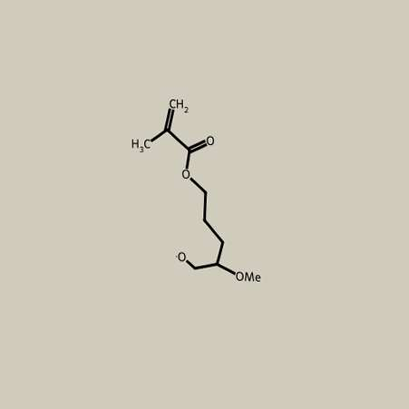 C=C(C)C(=O)OCCCC(C[O])OC